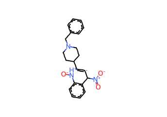 O=[N+]([O-])C1[C]=C(C2CCN(Cc3ccccc3)CC2)[NH+]([O-])c2ccccc21